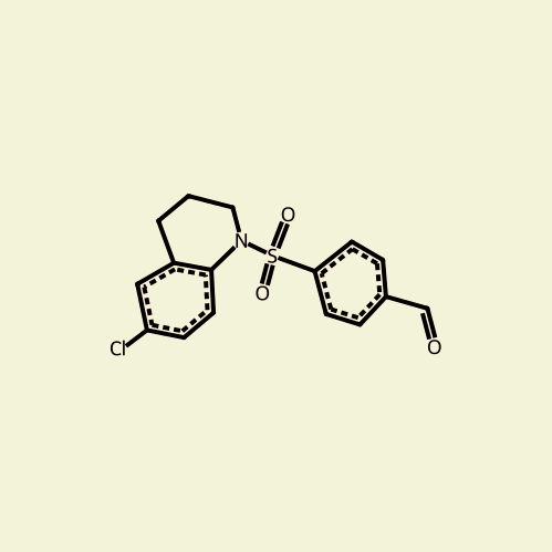 O=Cc1ccc(S(=O)(=O)N2CCCc3cc(Cl)ccc32)cc1